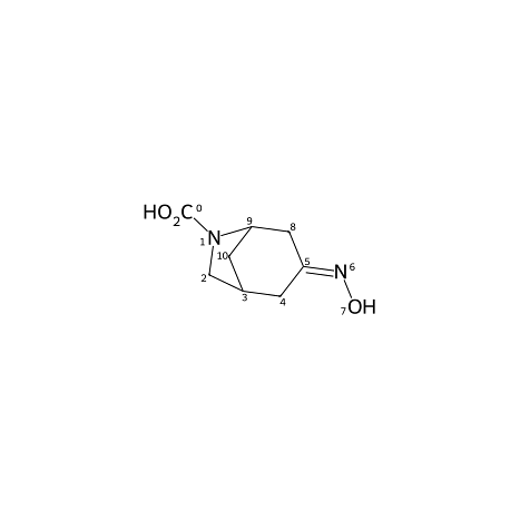 O=C(O)N1CC2CC(=NO)CC1C2